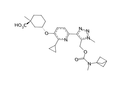 CN(C(=O)OCc1c(-c2ccc(O[C@H]3CCC[C@](C)(C(=O)O)C3)c(C3CC3)n2)nnn1C)C12CC(C1)C2